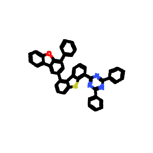 c1ccc(-c2nc(-c3ccccc3)nc(-c3cccc4c3sc3cccc(-c5cc(-c6ccccc6)c6oc7ccccc7c6c5)c34)n2)cc1